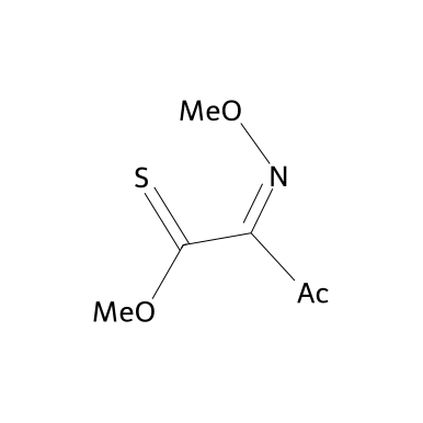 CON=C(C(C)=O)C(=S)OC